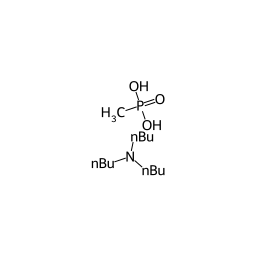 CCCCN(CCCC)CCCC.CP(=O)(O)O